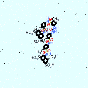 Cc1ccc(NC(=O)Nc2ccc(C)c(S(=O)(=O)Nc3ccc(C)c(S(=O)(=O)Nc4cc(S(=O)(=O)O)cc5cc(S(=O)(=O)O)cc(S(=O)(=O)O)c45)c3)c2)cc1S(=O)(=O)Nc1ccc(C)c(S(=O)(=O)Nc2cc(S(=O)(=O)O)cc3cc(S(=O)(=O)O)cc(S(=O)(=O)O)c23)c1